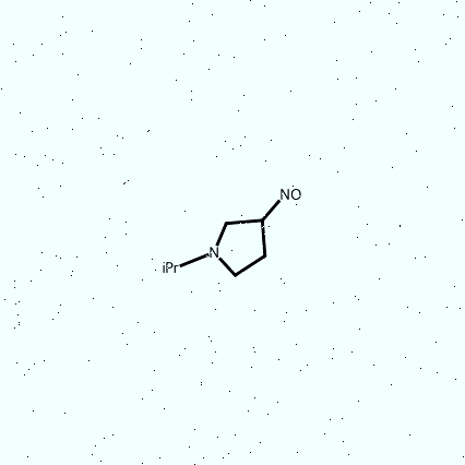 CC(C)N1CCC(N=O)C1